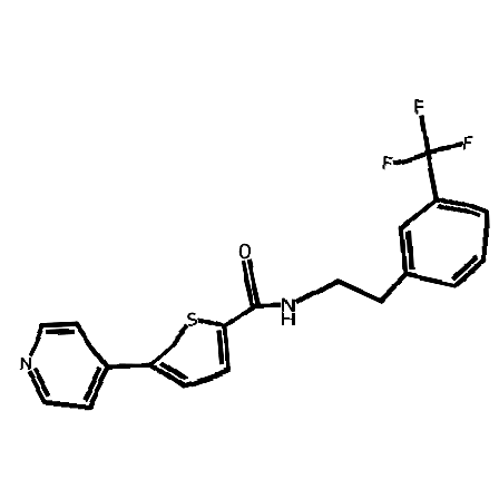 O=C(NCCc1cccc(C(F)(F)F)c1)c1ccc(-c2ccncc2)s1